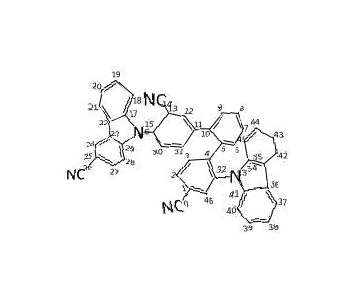 N#Cc1ccc(-c2ccccc2C2=CC(C#N)C(n3c4ccccc4c4cc(C#N)ccc43)C=C2)c(-n2c3c(c4ccccc42)CCC=C3)c1